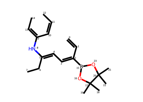 C=C/C(=C\C=C(/CC)NC(/C=C\C)=C/C)B1OC(C)(C)C(C)(C)O1